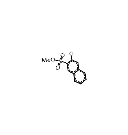 [CH2]OS(=O)(=O)c1cc2ccccc2cc1Cl